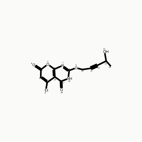 CCc1cc(=O)oc2nc(OCC#CC(C)O)[nH]c(=O)c12